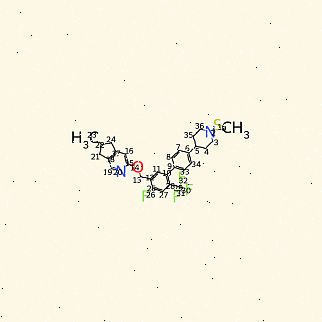 CSN1CCC(c2ccc(-c3cc(COc4cc5c(cn4)CC(C)C5)c(F)cc3C(F)(F)F)cc2)CC1